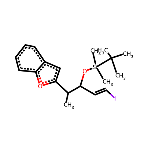 CC(c1cc2ccccc2o1)C(C=CI)O[Si](C)(C)C(C)(C)C